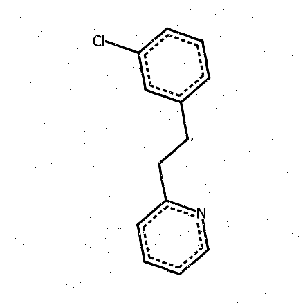 Clc1cccc([CH]Cc2ccccn2)c1